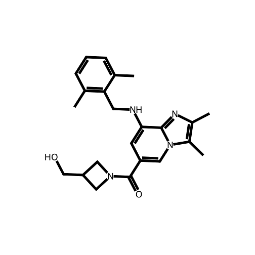 Cc1cccc(C)c1CNc1cc(C(=O)N2CC(CO)C2)cn2c(C)c(C)nc12